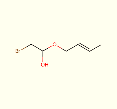 CC=CCOC(O)CBr